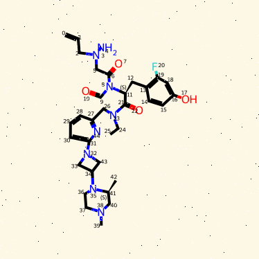 C=CCN(N)CC(=O)N(C=O)[C@@H](Cc1ccc(O)cc1F)C(=O)N(CC)Cc1cccc(N2CC(N3CCN(C)C[C@@H]3C)C2)n1